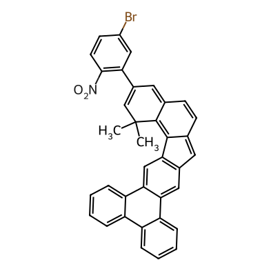 CC1(C)C=C(c2cc(Br)ccc2[N+](=O)[O-])C=c2ccc3c(c21)-c1cc2c4ccccc4c4ccccc4c2cc1C=3